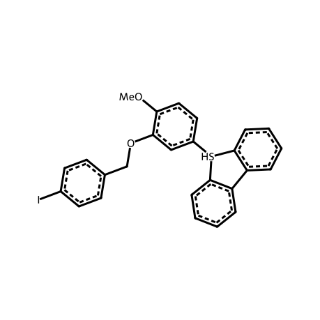 COc1ccc([SH]2c3ccccc3-c3ccccc32)cc1OCc1ccc(I)cc1